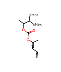 C=C/C=C(\C)OC(=O)OC(C)C(CCCCC)CCCCCC